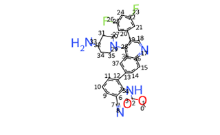 COC(=O)Nc1c(C#N)cccc1-c1ccc2ncc(-c3cc(F)cc(F)c3)c(N3CCC(N)CC3)c2c1